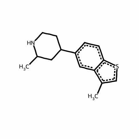 Cc1csc2ccc(C3CCNC(C)C3)cc12